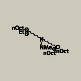 CCCCCCCCC(CC)OC(=O)CCCCCCCN(CCCCCCCC(=O)OC(CCCCCCCC)CCCCCCCC)CCCNC